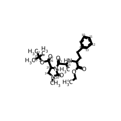 CCOC(=O)C(CCc1ccccc1)NC(C)C(=O)N1C(=O)N(C)CC1C(=O)OC(C)(C)C